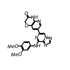 COc1ccc(Nc2nc(-c3cnc4c(c3)OCC(=O)N4)cn3ncnc23)cc1OC